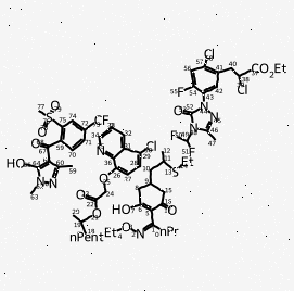 CCC/C(=N/OCC)C1=C(O)CC(CC(C)SCC)CC1=O.CCCCCC(C)OC(=O)COc1ccc(Cl)c2cccnc12.CCOC(=O)C(Cl)Cc1cc(-n2nc(C)n(C(F)F)c2=O)c(F)cc1Cl.Cc1nn(C)c(O)c1C(=O)c1ccc(C(F)(F)F)cc1S(C)(=O)=O